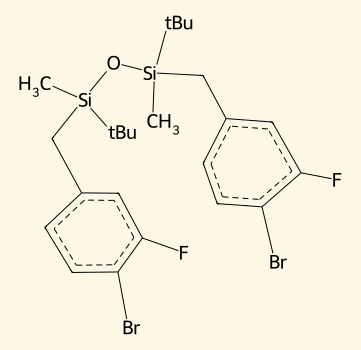 CC(C)(C)[Si](C)(Cc1ccc(Br)c(F)c1)O[Si](C)(Cc1ccc(Br)c(F)c1)C(C)(C)C